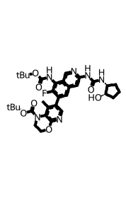 Cc1c(-c2cc3cc(NC(=O)N[C@@H]4CCC[C@@H]4O)ncc3c(NC(=O)OC(C)(C)C)c2F)cnc2c1N(C(=O)OC(C)(C)C)CCO2